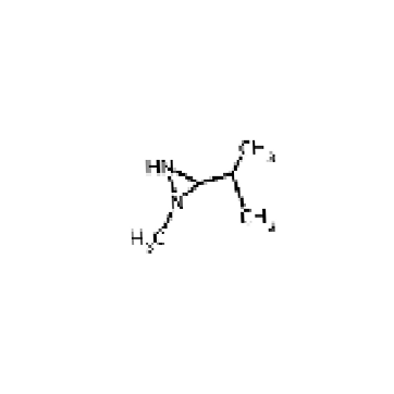 CC(C)C1NN1C